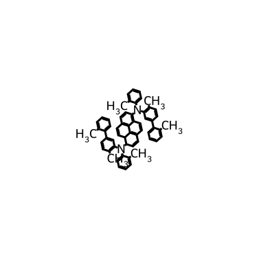 Cc1ccccc1-c1ccc(C)c(N(c2ccccc2C)c2ccc3c4c5c(ccc24)C=CC(N(c2ccccc2C)c2cc(-c4ccccc4C)ccc2C)C5C=C3)c1